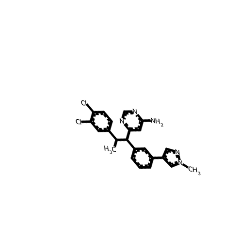 CC(c1ccc(Cl)c(Cl)c1)C(c1cccc(-c2cnn(C)c2)c1)c1cc(N)ncn1